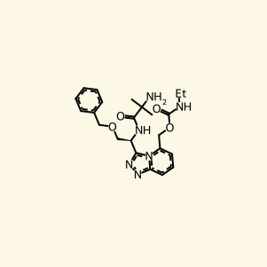 CCNC(=O)OCc1cccc2nnc([C@@H](COCc3ccccc3)NC(=O)C(C)(C)N)n12